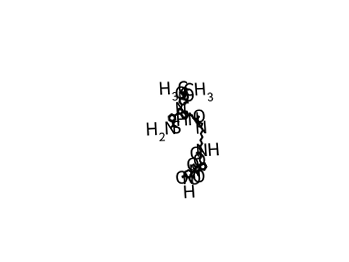 CC(C)S(=O)(=O)N1CCC(n2cc(-c3cccc(C(N)=S)c3)c3ccc(CNC(=O)C4CN(CCCCCCNC(=O)COc5cccc6c5C(=O)N(C5CCC(=O)NC5=O)C6=O)C4)cc32)CC1